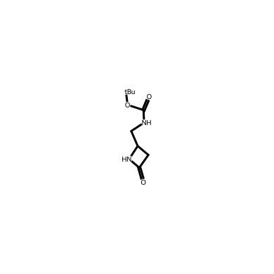 CC(C)(C)OC(=O)NCC1CC(=O)N1